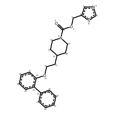 O=C(OCc1cncs1)N1CCC(CCOc2ccccc2-c2ccccc2)CC1